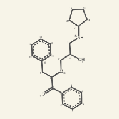 O=C(c1ccccc1)C(Cc1ccccc1)OCC(O)CNC1CCCC1